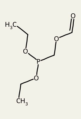 CCOP(COC=O)OCC